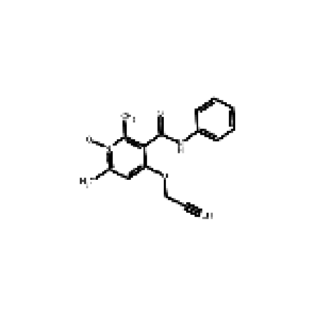 C#CCOc1cc(C)[n+]([O-])c(C)c1C(=O)Nc1ccccc1